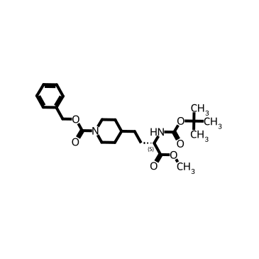 COC(=O)[C@H](CCC1CCN(C(=O)OCc2ccccc2)CC1)NC(=O)OC(C)(C)C